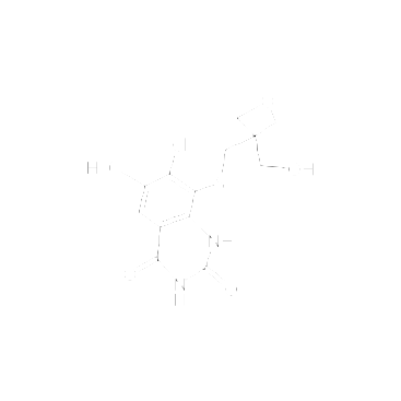 Cc1cc2c(=O)[nH]c(=O)[nH]c2c(SCC2(CO)COC2)c1Cl